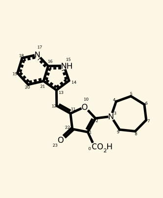 O=C(O)C1=C(N2CCCCCC2)O/C(=C\c2c[nH]c3ncccc23)C1=O